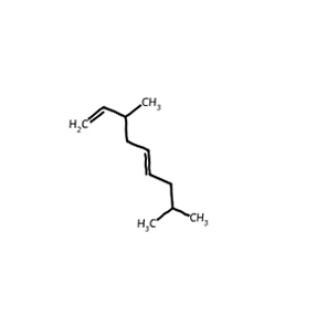 C=CC(C)CC=CCC(C)C